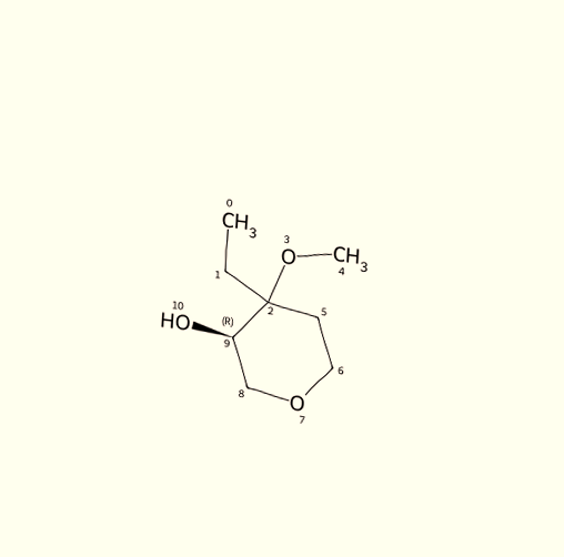 CCC1(OC)CCOC[C@H]1O